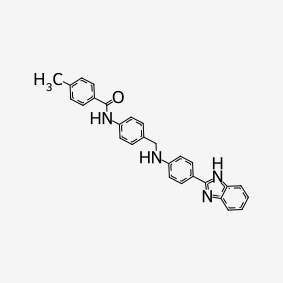 Cc1ccc(C(=O)Nc2ccc(CNc3ccc(-c4nc5ccccc5[nH]4)cc3)cc2)cc1